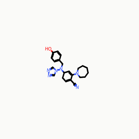 N#CC1=CCC(N(Cc2ccc(O)cc2)n2cnnc2)C=C1N1CCCCCC1